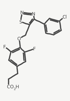 O=C(O)CCc1cc(F)c(OCc2snnc2-c2cccc(Cl)c2)c(F)c1